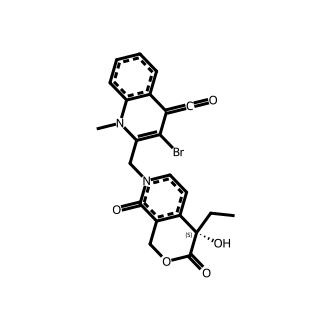 CC[C@@]1(O)C(=O)OCc2c1ccn(CC1=C(Br)C(=C=O)c3ccccc3N1C)c2=O